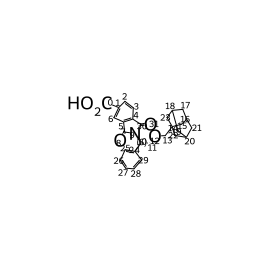 O=C(O)c1ccc2c(c1)C(=O)N([C@H](COCC13CC4CC(CC(C4)C1)C3)c1ccccc1)C2=O